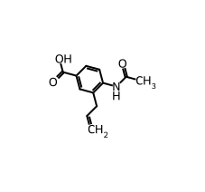 C=CCc1cc(C(=O)O)ccc1NC(C)=O